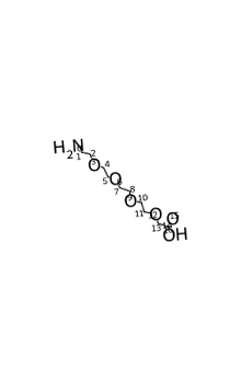 NCCOCCOCCOCCOCC(=O)O